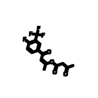 CC(=O)CC(=O)O/C(C)=C\C(=O)c1ccc(F)c(C(F)(F)F)c1